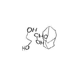 C1C2CC3CC1CC(C2)C3.O=CO.OCCO